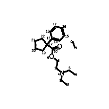 CC.CCN(CC)CCOC(=O)C1(c2ccccc2)CCCC1